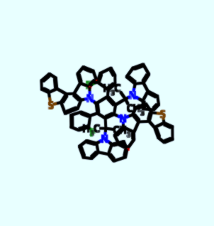 CC(C)(c1c(-c2ccccc2F)c(-n2c3ccccc3c3c4c(ccc32)sc2ccccc24)c(-c2ccccc2F)c(C(C)(C)n2c3ccccc3c3ccccc32)c1-n1c2ccccc2c2c3c(ccc21)sc1ccccc13)n1c2ccccc2c2ccccc21